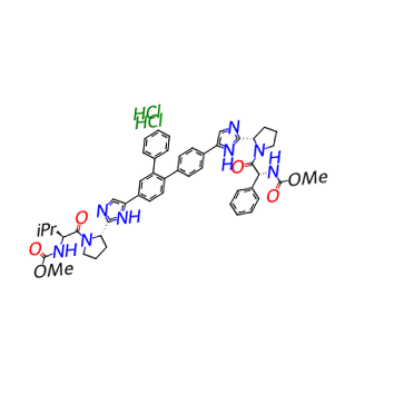 COC(=O)N[C@H](C(=O)N1CCC[C@H]1c1ncc(-c2ccc(-c3ccc(-c4cnc([C@@H]5CCCN5C(=O)[C@H](NC(=O)OC)c5ccccc5)[nH]4)cc3)c(-c3ccccc3)c2)[nH]1)C(C)C.Cl.Cl